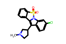 CN1CCC(c2c3n(c4cc(Cl)ccc24)S(=O)(=O)c2ccccc2-3)C1